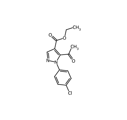 CCOC(=O)c1cnn(-c2ccc(Cl)cc2)c1C(C)=O